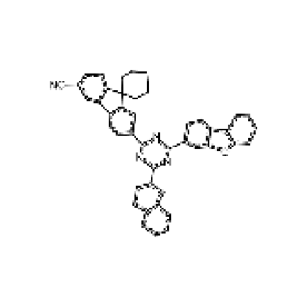 N#Cc1ccc2c(c1)-c1ccc(-c3nc(-c4ccc5ccccc5c4)nc(-c4ccc5c(c4)oc4ccccc45)n3)cc1C21CCCCC1